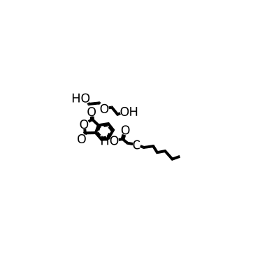 CCCCCCCCC(=O)O.O=C1OC(=O)c2ccccc21.OCCOCCO